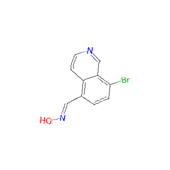 ON=Cc1ccc(Br)c2cnccc12